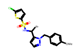 COc1ccc(Cn2nccc2C(NS(=O)(=O)c2ccc(Cl)s2)C(C)C)cc1